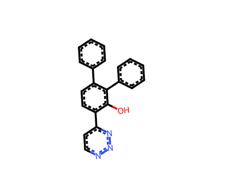 Oc1c(-c2ccnnn2)ccc(-c2ccccc2)c1-c1ccccc1